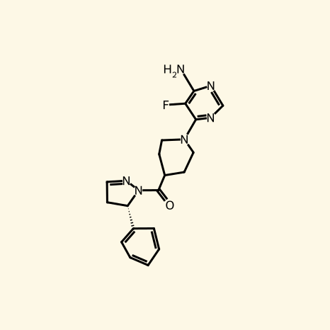 Nc1ncnc(N2CCC(C(=O)N3N=CC[C@H]3c3ccccc3)CC2)c1F